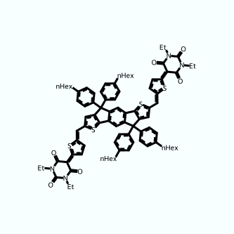 CCCCCCc1ccc(C2(c3ccc(CCCCCC)cc3)c3cc4c(cc3-c3sc(/C=c5\ccc(=C6C(=O)N(CC)C(=O)N(CC)C6=O)s5)cc32)C(c2ccc(CCCCCC)cc2)(c2ccc(CCCCCC)cc2)c2cc(/C=c3\ccc(=C5C(=O)N(CC)C(=O)N(CC)C5=O)s3)sc2-4)cc1